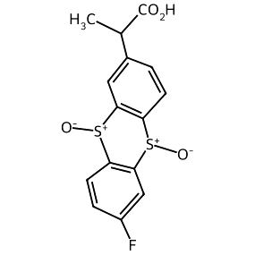 CC(C(=O)O)c1ccc2c(c1)[S+]([O-])c1ccc(F)cc1[S+]2[O-]